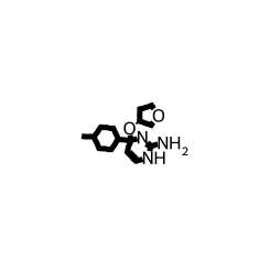 CC1CCC(C2(O[C@@H]3CCOC3)C=CNC(N)=N2)CC1